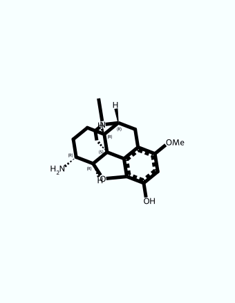 COc1cc(O)c2c3c1C[C@@H]1[C@@H]4CC[C@@H](N)[C@H](O2)[C@]34CCN1C